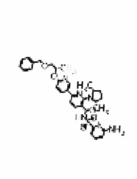 C[C@H](COCc1ccccc1)Oc1ccc(-c2ccc(C(=O)NS(=O)(=O)c3cccc(N)n3)c(N3[C@H](C)CC[C@@H]3C)n2)cn1